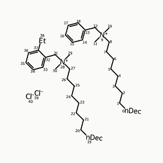 CCCCCCCCCCCCCCCCCC[N+](C)(C)Cc1ccccc1.CCCCCCCCCCCCCCCCCC[N+](C)(C)Cc1ccccc1CC.[Cl-].[Cl-]